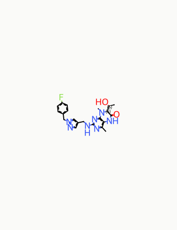 Cc1nc(NCc2cnn(Cc3ccc(F)cc3)c2)nc2c1NC(=O)[C@H]([C@H](C)O)N2C